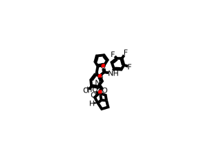 O=C(Nc1cc(F)c(F)c(F)c1)c1ccc(Cl)c(S(=O)(=O)C2C3CC[C@@H]2C[C@](O)(/C=N/OCc2ccccc2)C3)c1